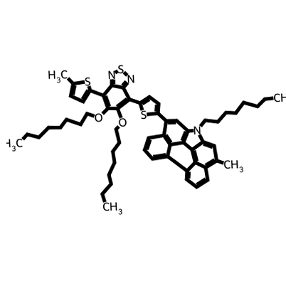 CCCCCCCCOc1c(OCCCCCCCC)c(-c2ccc(-c3cc4c5c6c3cccc6c3cccc6c(C)cc(c5c63)n4CCCCCCCC)s2)c2nsnc2c1-c1ccc(C)s1